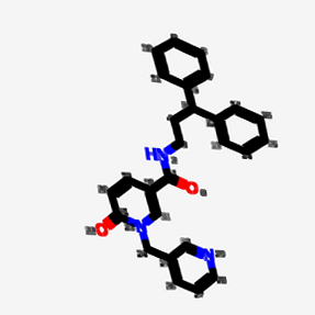 O=C(NCCC(c1ccccc1)c1ccccc1)c1ccc(=O)n(Cc2cccnc2)c1